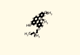 C=CCN(C)CCOc1ccc(CN(CC)c2cc(OC)ccc2C2CCc3cc(O)ccc3C2)cc1F